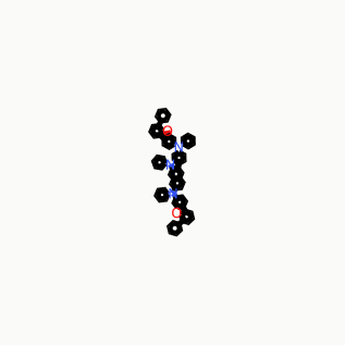 c1ccc(N(c2ccc3cc4c5ccc(N(c6ccccc6)c6ccc7c(c6)oc6c(C8CCCCC8)cccc67)cc5n(-c5ccccc5)c4cc3c2)c2ccc3c(c2)oc2c(C4CCCCC4)cccc23)cc1